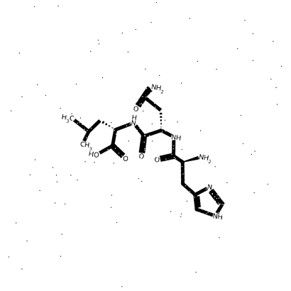 CC(C)C[C@H](NC(=O)[C@H](CC(N)=O)NC(=O)[C@@H](N)Cc1c[nH]cn1)C(=O)O